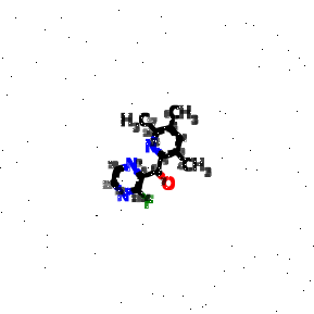 Cc1cc(C)c(C(=O)c2nccnc2F)nc1C